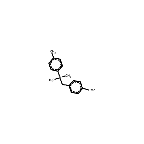 COc1ccc(C[N+](C)(C)c2ccc(C)cc2)cc1